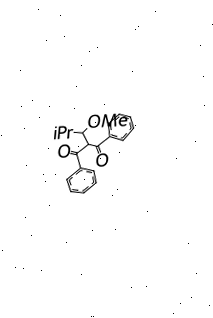 COC(C(C)C)C(C(=O)c1ccccc1)C(=O)c1ccccc1